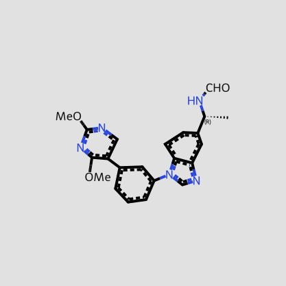 COc1ncc(-c2cccc(-n3cnc4cc([C@@H](C)NC=O)ccc43)c2)c(OC)n1